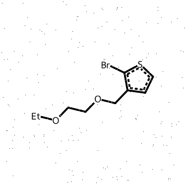 CCOCCOCc1ccsc1Br